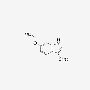 O=Cc1c[nH]c2cc(OCO)ccc12